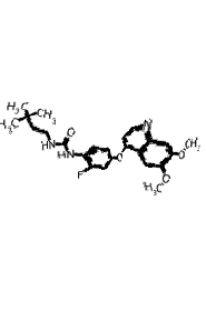 COc1cc2nccc(Oc3ccc(NC(=O)NCCC(C)(C)C)c(F)c3)c2cc1OC